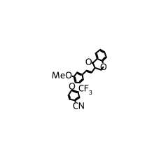 COc1cc(C=CC2COc3ccccc3C2=O)ccc1Oc1ccc(C#N)cc1C(F)(F)F